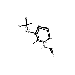 Cc1c(NC(C)(C)C)cccc1OC=O